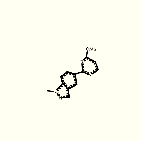 COc1ccnc(-c2ccc3c(cnn3C)c2)n1